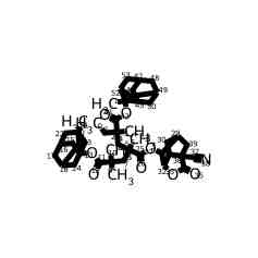 CCC(C)(CC(C)(CC(C)(C)C(=O)OC12CC3CC(CC(C)(C3)C1)C2)C(=O)OC1C2CC3C1OC(=O)C3(C#N)C2)C(=O)OC1(C)C2CC3CC(C2)CC1C3